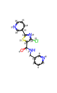 O=C(NCc1cccnc1)c1sc(-c2cccnc2)nc1Cl